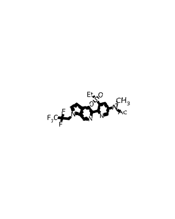 CCS(=O)(=O)c1cc(N(C)C(C)=O)cnc1-c1cc2ccn(CC(F)(F)C(F)(F)F)c2cn1